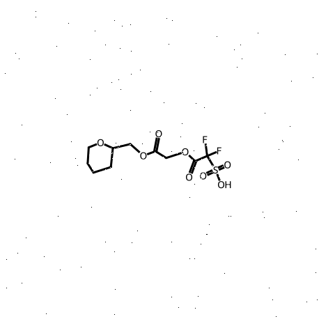 O=C(COC(=O)C(F)(F)S(=O)(=O)O)OCC1CCCCO1